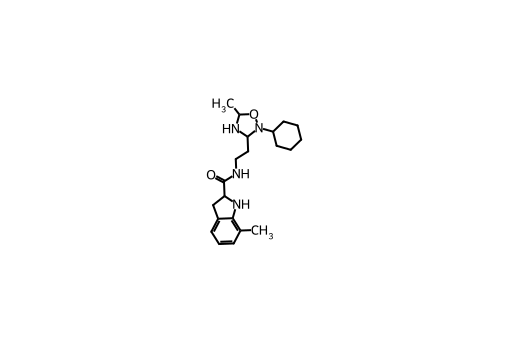 Cc1cccc2c1NC(C(=O)NCCC1NC(C)ON1C1CCCCC1)C2